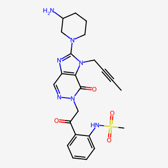 CC#CCn1c(N2CCCC(N)C2)nc2cnn(CC(=O)c3ccccc3NS(C)(=O)=O)c(=O)c21